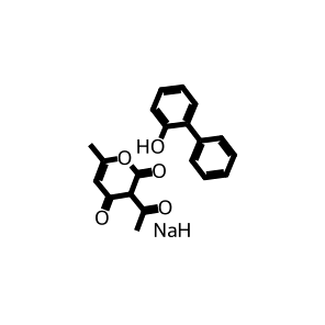 CC(=O)C1C(=O)C=C(C)OC1=O.Oc1ccccc1-c1ccccc1.[NaH]